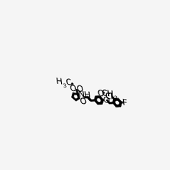 CCOC(=O)C1(NC(=O)/C=C/c2ccc(OCc3ccc(F)cc3Cl)c(OC)c2)CCCC1